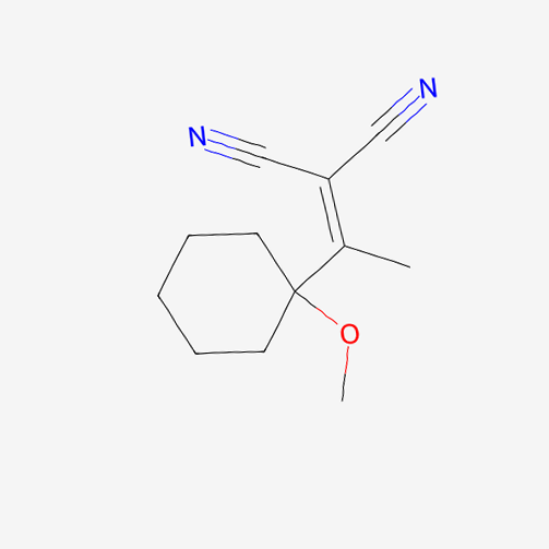 COC1(C(C)=C(C#N)C#N)CCCCC1